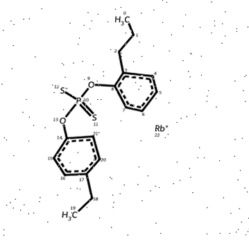 CCCc1ccccc1OP(=S)([S-])Oc1ccc(CC)cc1.[Rb+]